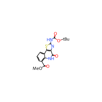 COC(=O)c1cccc2c1[nH]c(=O)c1nc(NC(=O)OC(C)(C)C)sc12